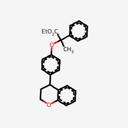 CCOC(=O)C(C)(Oc1ccc(C2CCOc3ccccc32)cc1)c1ccccc1